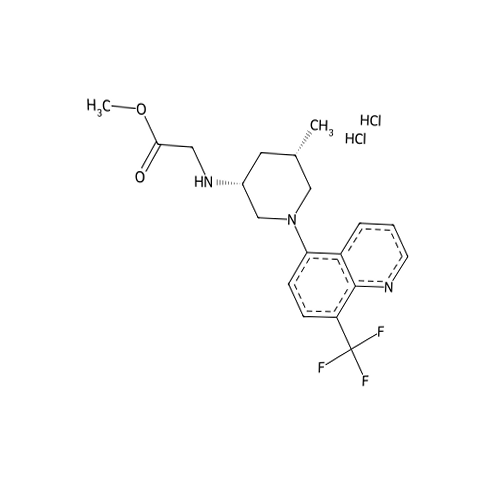 COC(=O)CN[C@@H]1C[C@H](C)CN(c2ccc(C(F)(F)F)c3ncccc23)C1.Cl.Cl